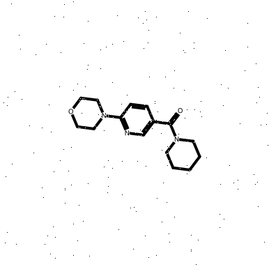 O=C(c1ccc(N2CCOCC2)nc1)N1CC[CH]CC1